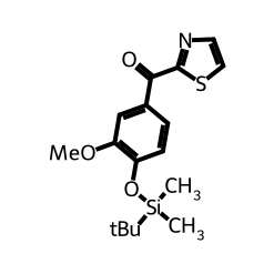 COc1cc(C(=O)c2nccs2)ccc1O[Si](C)(C)C(C)(C)C